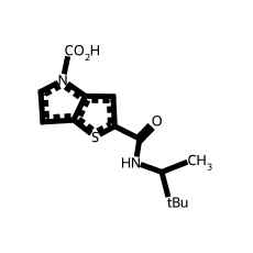 CC(NC(=O)c1cc2c(ccn2C(=O)O)s1)C(C)(C)C